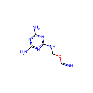 N=COCNc1nc(N)nc(N)n1